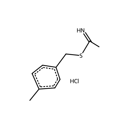 CC(=N)SCc1ccc(C)cc1.Cl